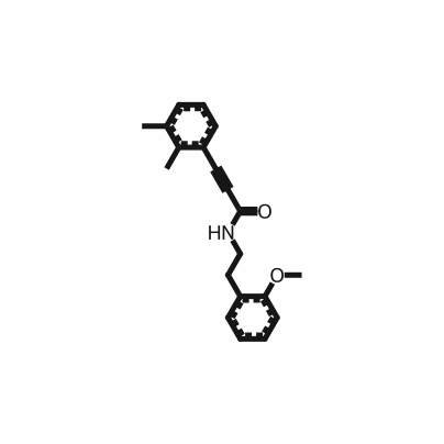 COc1ccccc1CCNC(=O)C#Cc1cccc(C)c1C